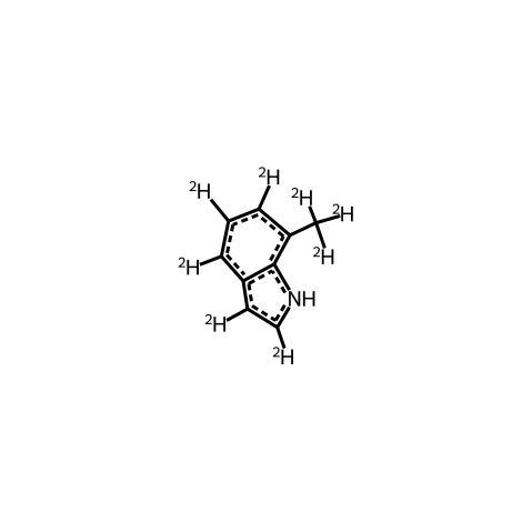 [2H]c1[nH]c2c(C([2H])([2H])[2H])c([2H])c([2H])c([2H])c2c1[2H]